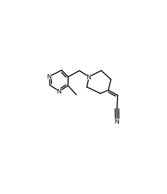 Cc1ncncc1CN1CCC(=CC#N)CC1